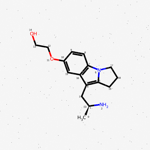 C[C@H](N)Cc1c2n(c3ccc(OCCO)cc13)CCC2